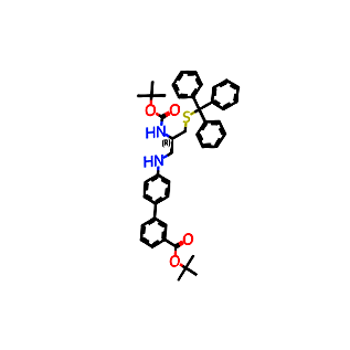 CC(C)(C)OC(=O)N[C@H](CNc1ccc(-c2cccc(C(=O)OC(C)(C)C)c2)cc1)CSC(c1ccccc1)(c1ccccc1)c1ccccc1